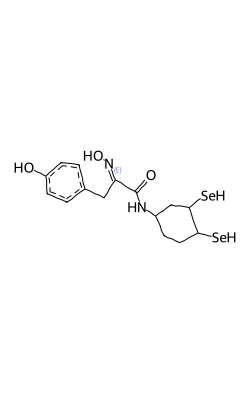 O=C(NC1CCC([SeH])C([SeH])C1)/C(Cc1ccc(O)cc1)=N/O